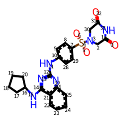 O=C1CN(S(=O)(=O)c2ccc(Nc3nc(NC4CCCC4)c4ccccc4n3)cc2)CC(=O)N1